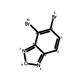 Brc1ccc2nonc2c1Br